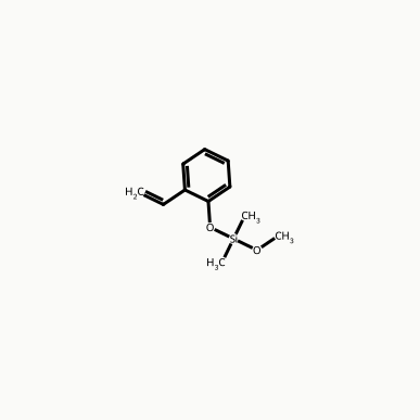 C=Cc1ccccc1O[Si](C)(C)OC